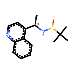 C[C@@H](N[S+]([O-])C(C)(C)C)c1ccnc2ccccc12